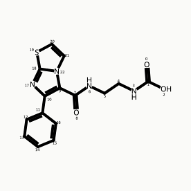 O=C(O)NCCNC(=O)c1c(-c2ccccc2)nc2sccn12